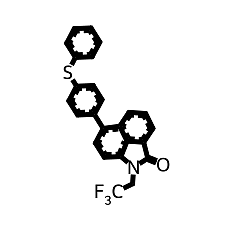 O=C1c2cccc3c(-c4ccc(Sc5ccccc5)cc4)ccc(c23)N1CC(F)(F)F